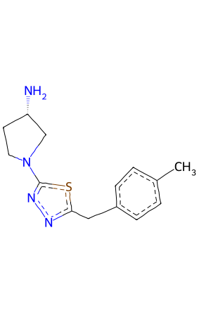 Cc1ccc(Cc2nnc(N3CC[C@H](N)C3)s2)cc1